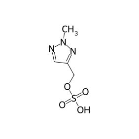 Cn1ncc(COS(=O)(=O)O)n1